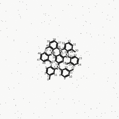 Cc1cccc(N(c2cccc(C)c2)c2cc3c4c(c2)N(c2ccccc2C)c2c(C)cccc2B4c2cccc(C)c2N3c2ccccc2C)c1